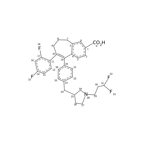 O=C(O)c1ccc2c(c1)CCCC(c1ccc(F)cc1F)=C2c1ccc(CC2CCN(CCC(F)F)C2)cc1